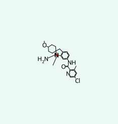 COC1CCC2(CC1)Cc1ccc(NC(=O)c3ncc(Cl)cc3C)cc1C21N=C(C)C(N)=N1